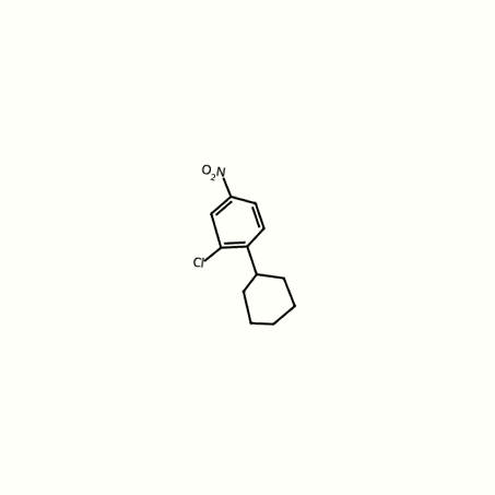 O=[N+]([O-])c1ccc(C2CCCCC2)c(Cl)c1